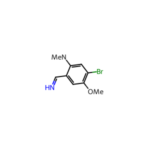 CNc1cc(Br)c(OC)cc1C=N